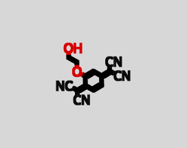 N#CC(C#N)=c1ccc(=C(C#N)C#N)c(OCCO)c1